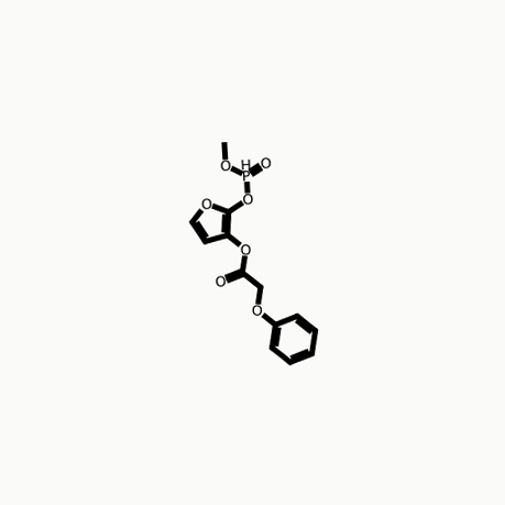 CO[PH](=O)Oc1occc1OC(=O)COc1ccccc1